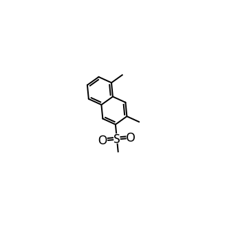 Cc1cc2c(C)cccc2cc1S(C)(=O)=O